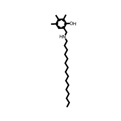 CCCCCCCCCCCCCCCCNCc1cc(C)c(C)c(C)c1O